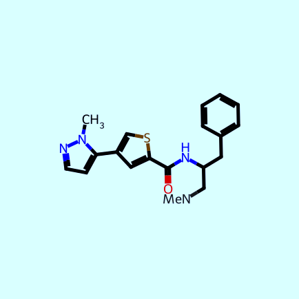 CNCC(Cc1ccccc1)NC(=O)c1cc(-c2ccnn2C)cs1